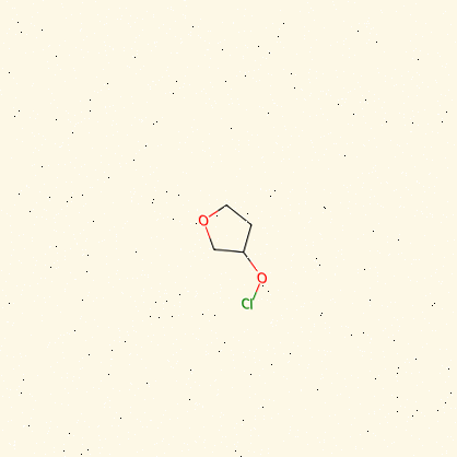 ClOC1CCOC1